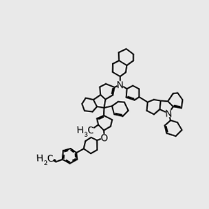 C=Cc1ccc(C2CCC(OC3CCC(C4(C5C=CCCC5)C5C=C(N(C6C=CC(C7CCC8C(C7)C7CCCC=C7N8C7C=CCCC7)CC6)C6CCC7CCCCC7C6)CCC5C5CCCCC54)=CC3C)CC2)cc1